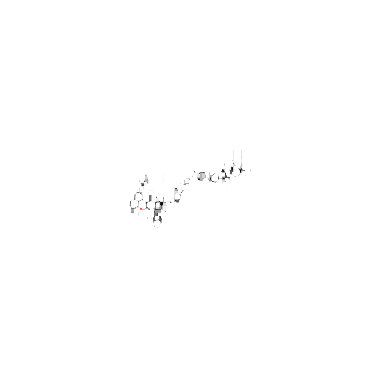 CCc1c(F)ccc2cc(OCOC)cc(-c3c(F)cc4c(N5CC6CCC(C6)C5)nc(OCC5(CN6CCC7(CC6)CC(CN6CCN(c8ccc9c(c8)CN([C@H]8CCC(=O)NC8=O)C9=O)CC6)C7)CC5)nc4c3F)c12